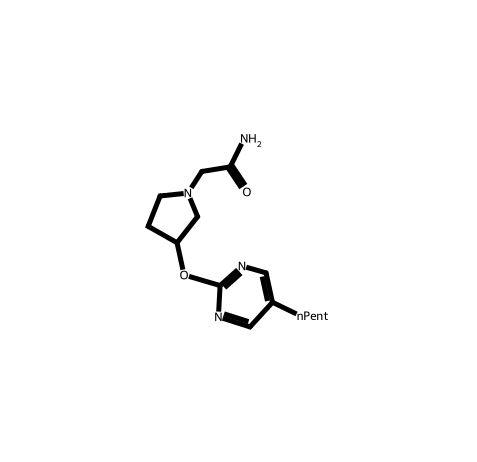 CCCCCc1cnc(OC2CCN(CC(N)=O)C2)nc1